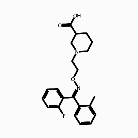 Cc1ccccc1C(=NOCCN1CCCC(C(=O)O)C1)c1ccccc1F